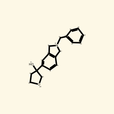 OC1(c2ccc3c(c2)CN(Cc2ccccc2)C3)CCOC1